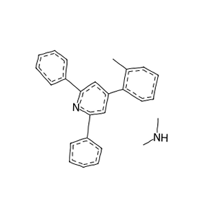 CNC.Cc1ccccc1-c1cc(-c2ccccc2)nc(-c2ccccc2)c1